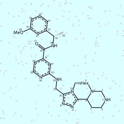 CCCCCCN1CNCCC1c1nnc(CNc2cc(C(=O)N[C@@H](C)c3cccc(OC)c3)ccn2)n1C